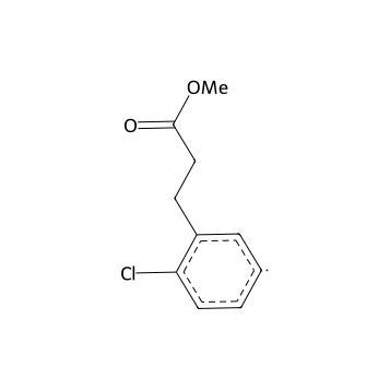 COC(=O)CCc1c[c]ccc1Cl